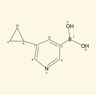 OB(O)c1cncc(C2CC2)c1